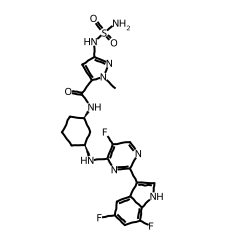 Cn1nc(NS(N)(=O)=O)cc1C(=O)N[C@@H]1CCC[C@H](Nc2nc(-c3c[nH]c4c(F)cc(F)cc34)ncc2F)C1